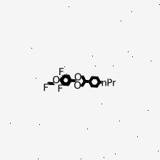 CCCC1CCC(C2COC(c3cc(F)c(OCCF)c(F)c3)OC2)CC1